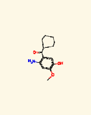 COc1cc(N)c(C(=O)C2CCCCC2)cc1O